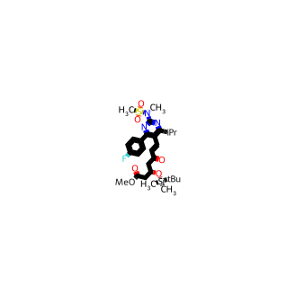 COC(=O)CC(CC(=O)/C=C/c1c(-c2ccc(F)cc2)nc(N(C)S(C)(=O)=O)nc1C(C)C)O[Si](C)(C)C(C)(C)C